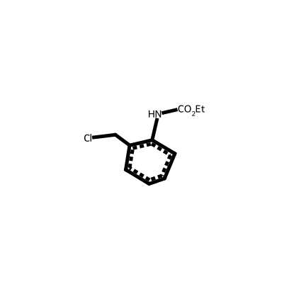 CCOC(=O)Nc1ccccc1CCl